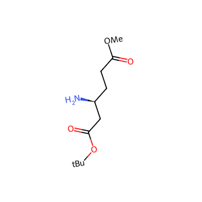 COC(=O)CC[C@H](N)CC(=O)OC(C)(C)C